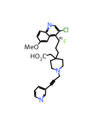 COc1ccc2ncc(Cl)c([C@H](F)CCC3(CC(=O)O)CCN(CC#Cc4cccnc4)CC3)c2c1